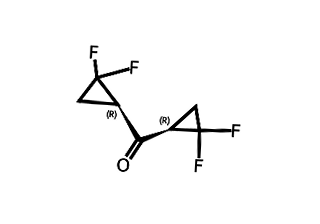 O=C([C@H]1CC1(F)F)[C@H]1CC1(F)F